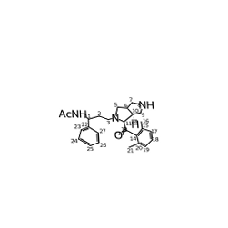 CC(=O)NC(CCN1CC2CNC[C@H]2[C@H]1C(=O)c1c(C)cccc1C)c1ccccc1